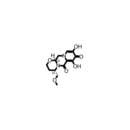 COC[C@@H]1CCO[C@H]2Cn3cc(O)c(=O)c(O)c3C(=O)N12